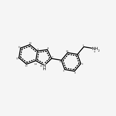 NCc1cccc(-c2cc3ccccc3[nH]2)c1